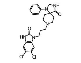 O=C1NCN(c2ccccc2)C12CCN(CCCn1c(=O)[nH]c3cc(Cl)c(Cl)cc31)CC2